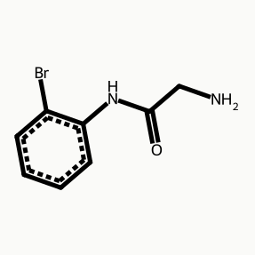 NCC(=O)Nc1ccccc1Br